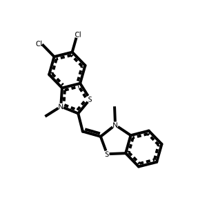 CN1C(=Cc2sc3cc(Cl)c(Cl)cc3[n+]2C)Sc2ccccc21